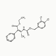 CCOC(=O)/C(=C(/C)NC(=O)OCc1ccc(Cl)c(Cl)c1)c1ccccc1